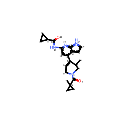 CC1CN(C(=O)C2(C)CC2)CC=C1c1cc(NC(=O)C2CC2)nc2[nH]ccc12